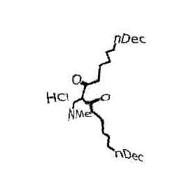 CCCCCCCCCCCCCCCC(=O)C(CNC)C(=O)CCCCCCCCCCCCCCC.Cl